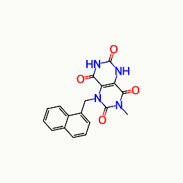 Cn1c(=O)c2[nH]c(=O)[nH]c(=O)c2n(Cc2cccc3ccccc23)c1=O